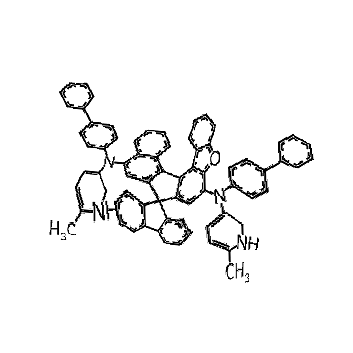 CC1=CC=C(N(c2ccc(-c3ccccc3)cc2)c2cc3c(c4ccccc24)-c2c(cc(N(C4=CC=C(C)NC4)c4ccc(-c5ccccc5)cc4)c4oc5ccccc5c24)C32c3ccccc3-c3ccccc32)CN1